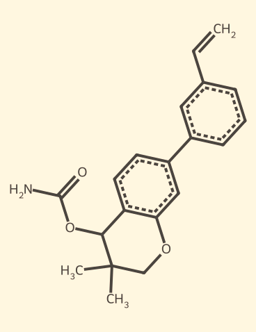 C=Cc1cccc(-c2ccc3c(c2)OCC(C)(C)C3OC(N)=O)c1